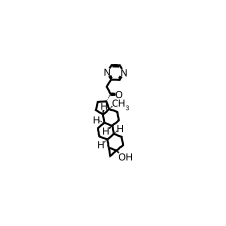 C[C@]12CC[C@@H]3[C@H]4CC[C@]5(O)CC5[C@H]4CC[C@H]3[C@@H]1CC[C@@H]2C(=O)Cc1cnccn1